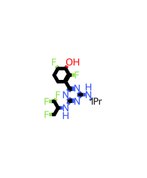 CC(C)Nc1nc(NC(CF)C(F)F)nc(C2=C(F)C(O)C(F)CC2)n1